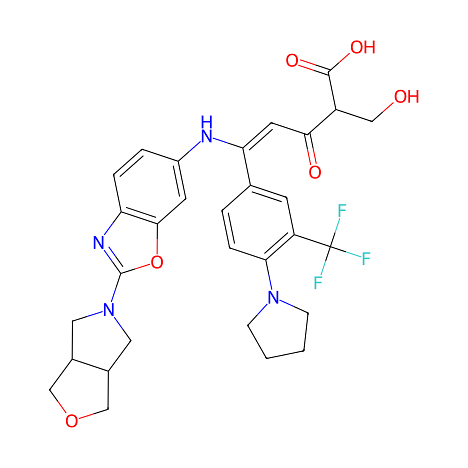 O=C(O)C(CO)C(=O)C=C(Nc1ccc2nc(N3CC4COCC4C3)oc2c1)c1ccc(N2CCCC2)c(C(F)(F)F)c1